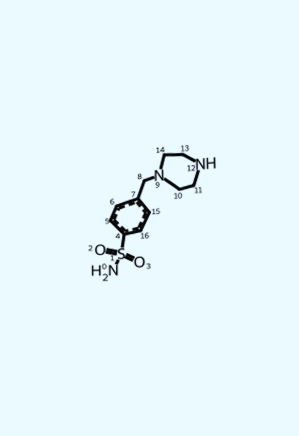 NS(=O)(=O)c1ccc(CN2CCNCC2)cc1